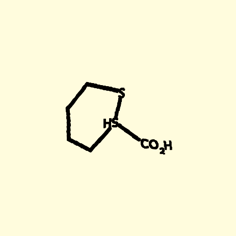 O=C(O)[SH]1CCCCS1